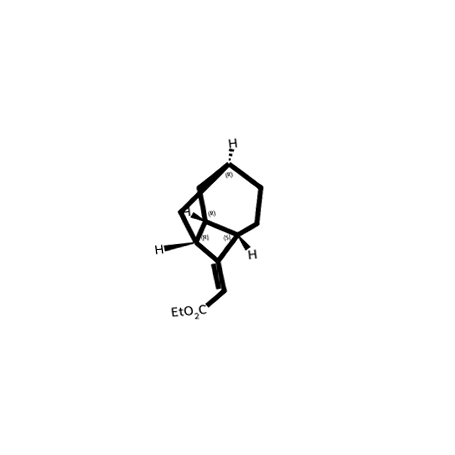 CCOC(=O)C=C1[C@H]2CC[C@@H]3C[C@H]2[C@H]1C3